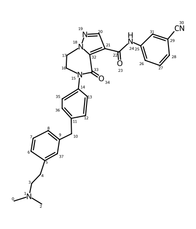 CN(C)CCc1cccc(Cc2ccc(N3CCn4ncc(C(=O)Nc5cccc(C#N)c5)c4C3=O)cc2)c1